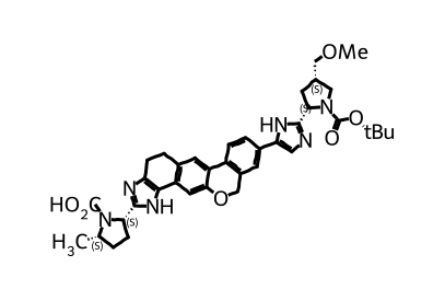 COC[C@H]1C[C@@H](c2ncc(-c3ccc4c(c3)COc3cc5c(cc3-4)CCc3nc([C@@H]4CC[C@H](C)N4C(=O)O)[nH]c3-5)[nH]2)N(C(=O)OC(C)(C)C)C1